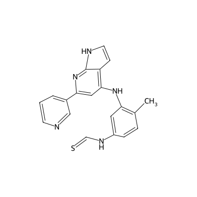 Cc1ccc(NC=S)cc1Nc1cc(-c2cccnc2)nc2[nH]ccc12